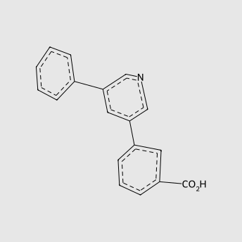 O=C(O)c1cccc(-c2cncc(-c3ccccc3)c2)c1